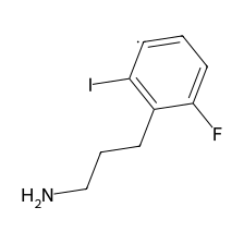 NCCCc1c(I)[c]ccc1F